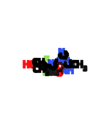 C[C@@H]1C[C@H](NC(=O)OC(C)(C)C)CN(c2ccncc2NCc2ccc(F)c(-c3c(F)cc(C(C)(C)O)cc3F)n2)C1